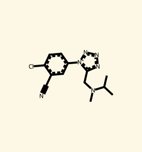 CC(C)N(C)Cc1nnnn1-c1ccc(Cl)c(C#N)c1